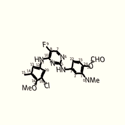 CNc1cc(Nc2ncc(F)c(Nc3cc(C)c(OC)c(Cl)c3)n2)ccc1OC=O